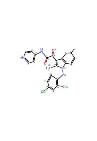 Cc1ccc2c(c1)c(C(=O)C(=O)Nc1ccncc1)c(C(F)(F)F)n2Cc1ccc(Cl)cc1Cl